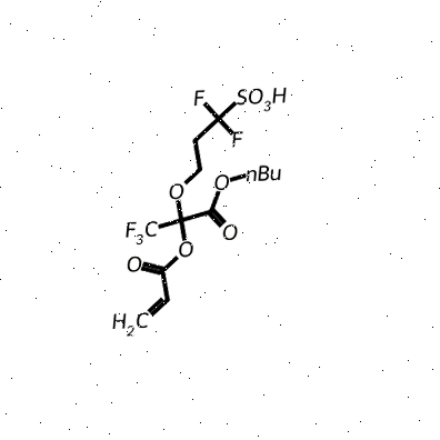 C=CC(=O)OC(OCCC(F)(F)S(=O)(=O)O)(C(=O)OCCCC)C(F)(F)F